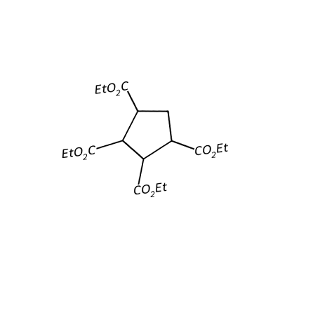 CCOC(=O)C1CC(C(=O)OCC)C(C(=O)OCC)C1C(=O)OCC